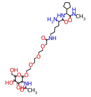 CNC(=O)C(NC(=O)C(N)CCCCNC(=O)COCCOCCOCCO[C@@H]1O[C@H](CO)[C@H](O)[C@H](O)[C@H]1NC(C)=O)C1CCCC1